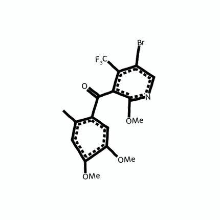 COc1cc(C)c(C(=O)c2c(OC)ncc(Br)c2C(F)(F)F)cc1OC